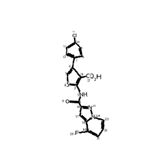 O=C(Nc1scc(-c2ccc(Cl)cc2)c1C(=O)O)c1cc2c(F)cccn2n1